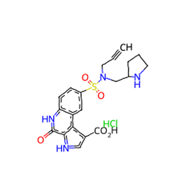 C#CCN(CC1CCCN1)S(=O)(=O)c1ccc2[nH]c(=O)c3[nH]cc(C(=O)O)c3c2c1.Cl